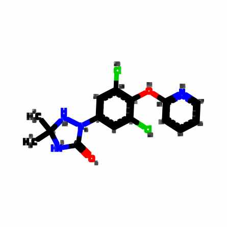 CC1(C)NC(=O)N(c2cc(Cl)c(Oc3ccccn3)c(Cl)c2)N1